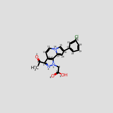 CC(=O)c1nn(CC(=O)O)c2c1ccn1cc(-c3cccc(Cl)c3)cc21